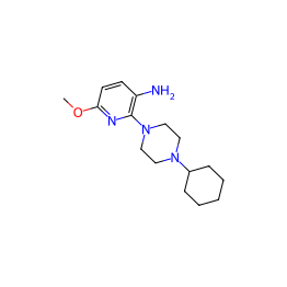 COc1ccc(N)c(N2CCN(C3CCCCC3)CC2)n1